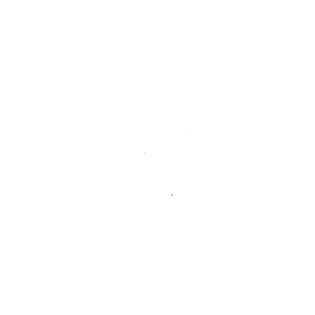 FC(F)(F)c1c[c]([GaH2])cc(C(F)(F)F)c1